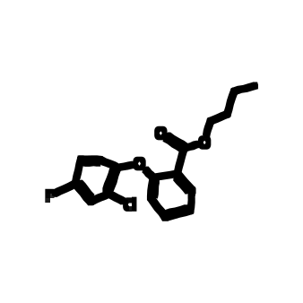 CCCCOC(=O)c1ccccc1Oc1ccc(F)cc1Cl